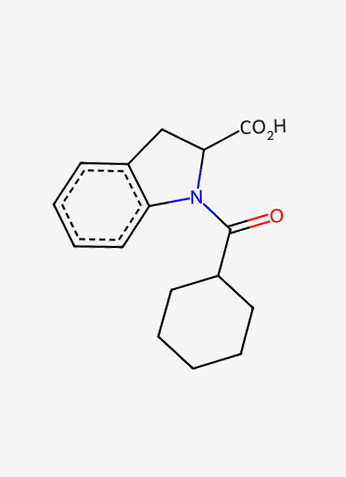 O=C(O)C1Cc2ccccc2N1C(=O)C1CCCCC1